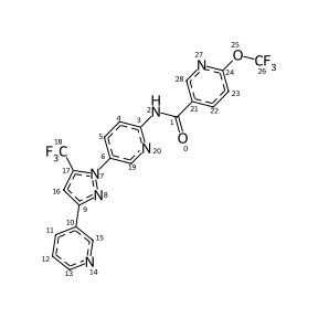 O=C(Nc1ccc(-n2nc(-c3cccnc3)cc2C(F)(F)F)cn1)c1ccc(OC(F)(F)F)nc1